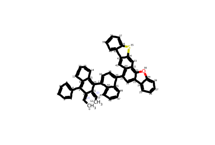 C/C=c1/c(-c2ccccc2)c2ccccc2c(-c2ccc(-c3cc4c5ccccc5oc4c4cc5sc6ccccc6c5cc34)c3ccccc23)/c1=C/C